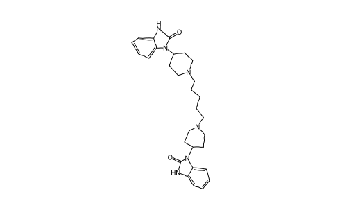 O=c1[nH]c2ccccc2n1C1CCN(CCCCCN2CCC(n3c(=O)[nH]c4ccccc43)CC2)CC1